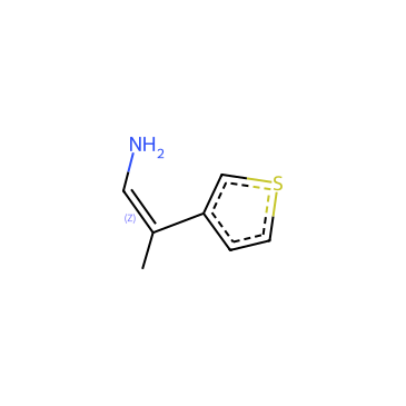 C/C(=C/N)c1ccsc1